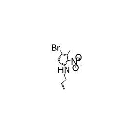 C=CCCNc1ccc(Br)c(C)c1[N+](=O)[O-]